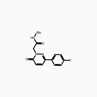 CC(C)(C)NC(=O)Cn1nc(-c2ccc(F)cc2)ccc1=O